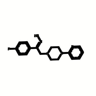 ON=C(CN1CCN(c2ccccn2)CC1)c1ccc(F)cc1